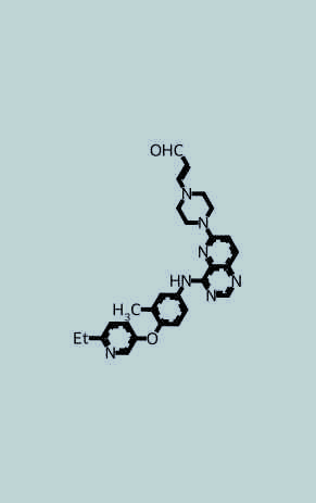 CCc1ccc(Oc2ccc(Nc3ncnc4ccc(N5CCN(C=CC=O)CC5)nc34)cc2C)cn1